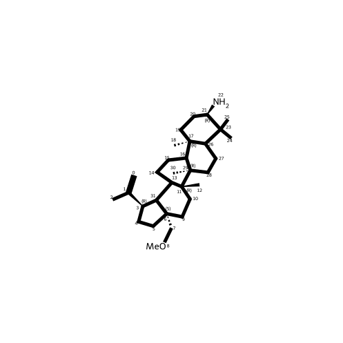 C=C(C)[C@@H]1CC[C@]2(COC)CC[C@]3(C)C(CCC4[C@@]5(C)CC[C@@H](N)C(C)(C)C5CC[C@]43C)C12